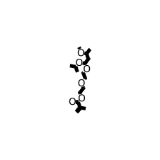 C=C(C)C(=O)OCCOCCOC(CC(C)OC)OC(C)C